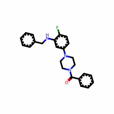 O=C(c1ccccc1)N1CCN(c2ccc(F)c(NCc3ccccc3)c2)CC1